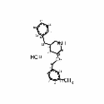 Cc1cccc(COC2CNCC(Cc3ccccc3)C2)c1.Cl